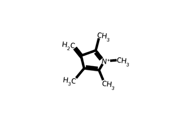 C=C1C(C)=C(C)[N+](C)=C1C